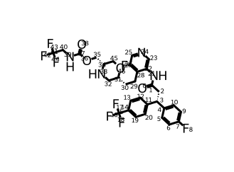 O=C(C[C@H](c1ccc(F)cc1)c1ccc(C(F)(F)F)cc1)Nc1cncc(F)c1CC[C@@H]1CN[C@H](COC(=O)NCC(F)(F)F)CO1